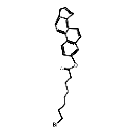 O=C(CCCCCCCBr)Oc1ccc2c(ccc3c4c(ccc32)CC=C4)c1